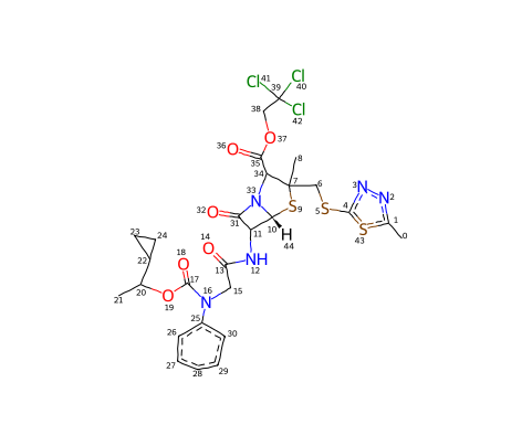 Cc1nnc(SCC2(C)S[C@@H]3C(NC(=O)CN(C(=O)OC(C)C4CC4)c4ccccc4)C(=O)N3C2C(=O)OCC(Cl)(Cl)Cl)s1